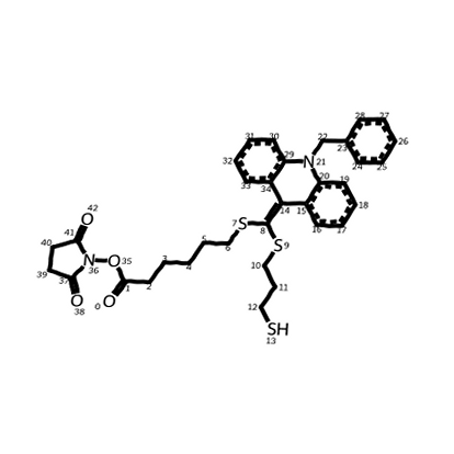 O=C(CCCCCSC(SCCCS)=C1c2ccccc2N(Cc2ccccc2)c2ccccc21)ON1C(=O)CCC1=O